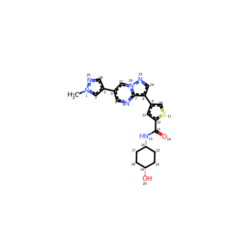 Cn1cc(-c2cnc3c(-c4csc(C(=O)N[C@H]5CC[C@@H](O)CC5)c4)cnn3c2)cn1